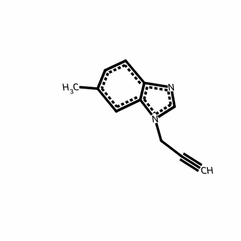 C#CCn1cnc2ccc(C)cc21